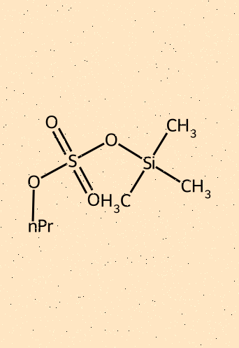 CCCOS(=O)(=O)O[Si](C)(C)C